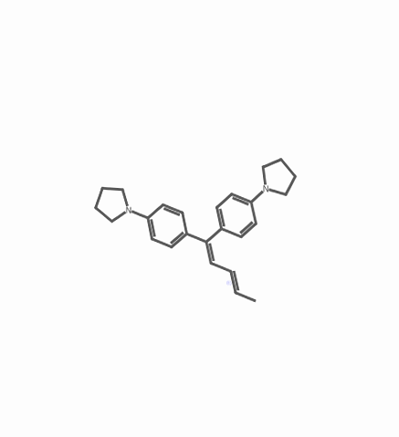 C/C=C/C=C(c1ccc(N2CCCC2)cc1)c1ccc(N2CCCC2)cc1